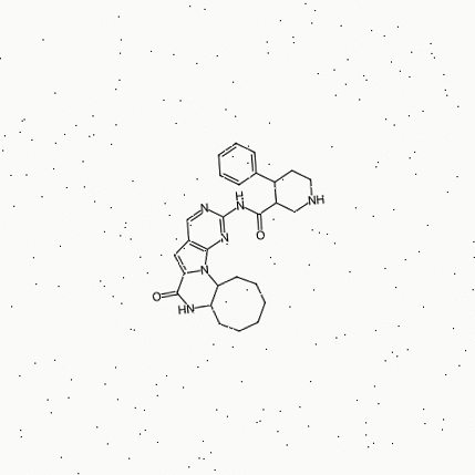 O=C1NC2CCCCCCC2n2c1cc1cnc(NC(=O)C3CNCCC3c3ccccc3)nc12